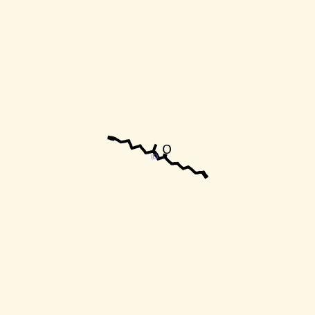 C=CCCCCCC(=O)/C=C(\C)CCCCCC=C